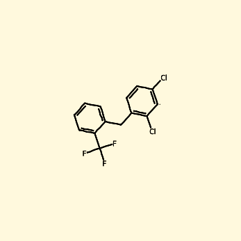 FC(F)(F)c1ccccc1Cc1ccc(Cl)[c]c1Cl